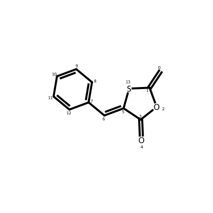 C=c1oc(=O)/c(=C/c2ccccc2)s1